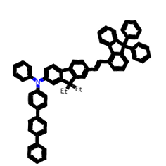 CCC1(CC)c2cc(/C=C/c3cccc4c3-c3ccccc3C4(c3ccccc3)c3ccccc3)ccc2-c2ccc(N(c3ccccc3)c3ccc(-c4ccc(-c5ccccc5)cc4)cc3)cc21